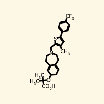 Cc1cc(-c2ccc(C(F)(F)F)cc2)sc1CN1CCC2=CCC(OC(C)(C)C(=O)O)C=C2CC1